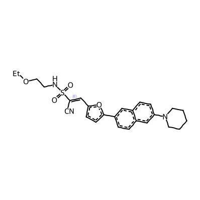 CCOCCNS(=O)(=O)/C(C#N)=C/c1ccc(-c2ccc3cc(N4CCCCC4)ccc3c2)o1